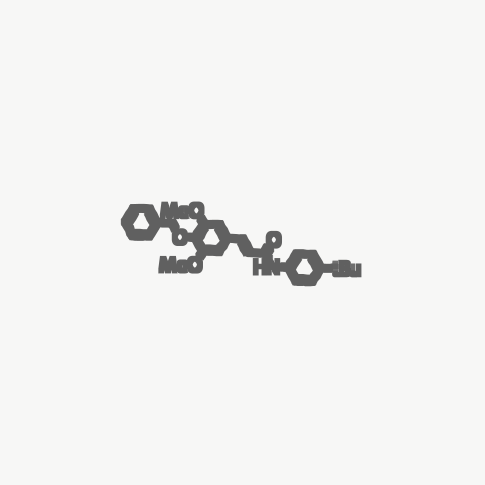 COc1cc(C=CC(=O)Nc2ccc(C(C)(C)C)cc2)cc(OC)c1OCc1ccccc1